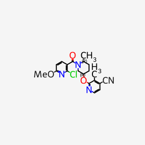 COc1ccc(C(=O)N2C[C@H](Oc3nccc(C#N)c3C)CC[C@H]2C)c(Cl)n1